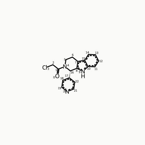 O=C(CCl)N1CCc2c([nH]c3ccccc23)[C@@H]1c1ccncc1